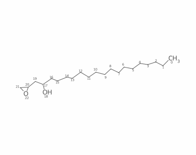 CCCCCCCCCCCCCCCCCC(O)CC1CO1